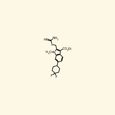 CCOC(=O)c1c(CSC(=N)N)n(C)c2cc(C3CCC(F)(F)CC3)ccc12